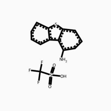 Nc1cccc2sc3ccccc3c12.O=S(=O)(O)C(F)(F)F